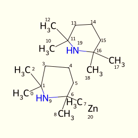 CC1(C)CCCC(C)(C)N1.CC1(C)CCCC(C)(C)N1.[Zn]